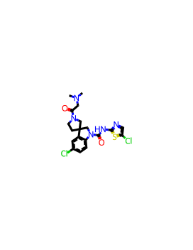 CN(C)CC(=O)N1CCC2(C1)CN(C(=O)Nc1ncc(Cl)s1)c1ccc(Cl)cc12